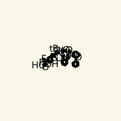 CC(C)(C)[C@H](NC(=O)c1cc2cc(C(F)(F)P(=O)(O)O)ccc2s1)C(=O)N1Cc2ccccc2C[C@H]1C(=O)N1CCCOC(c2ccccc2)C1